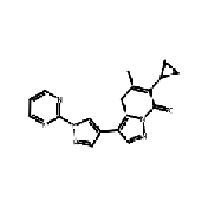 CC1=C(C2CC2)C(=O)n2ncc(-c3cnn(-c4ncccn4)c3)c2C1